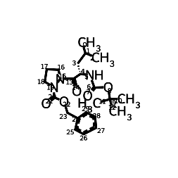 CC(C)C[C@H](NC(=O)OC(C)(C)C)C(=O)N1CCCN1C(=O)OCc1ccccc1